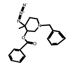 CC1(N=[N+]=[N-])CCN(Cc2ccccc2)CC1OC(=O)c1ccccc1